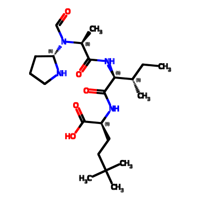 CC[C@H](C)[C@H](NC(=O)[C@H](C)N(C=O)[C@H]1CCCN1)C(=O)N[C@@H](CCC(C)(C)C)C(=O)O